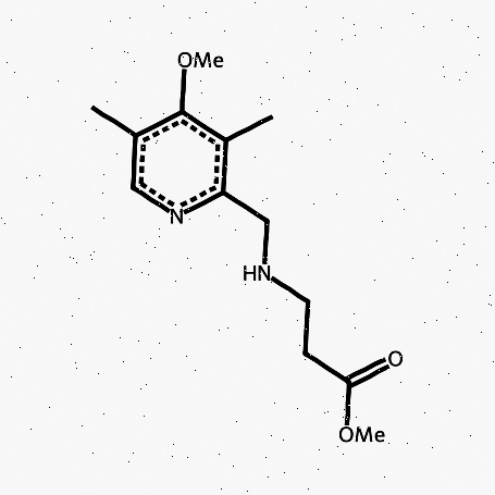 COC(=O)CCNCc1ncc(C)c(OC)c1C